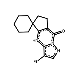 CCc1cnn2c(=O)c3c([nH]c12)C1(CCCCC1)CC3